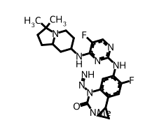 CNC(=O)N(N=N)c1cc(Nc2ncc(F)c(NC3CCN4C(CCC4(C)C)C3)n2)c(F)cc1C1CC1